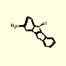 CCn1c2c(c3cc(C)ccc31)Cc1ccccc1-2